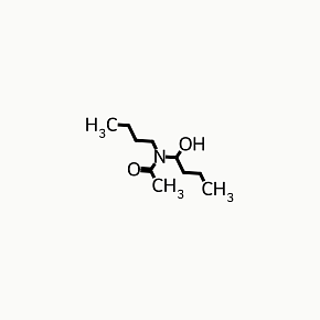 CCCCN(C(C)=O)C(O)CCC